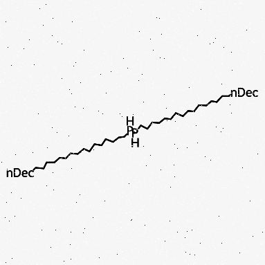 CCCCCCCCCCCCCCCCCCCCCCCCCCPPCCCCCCCCCCCCCCCCCCCCCCCCCC